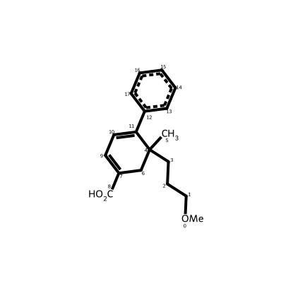 COCCCC1(C)CC(C(=O)O)=CC=C1c1ccccc1